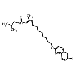 CC(C=CCCCCCCCOc1ccc2cc(I)ccc2n1)=CC(=O)NCC(C)C